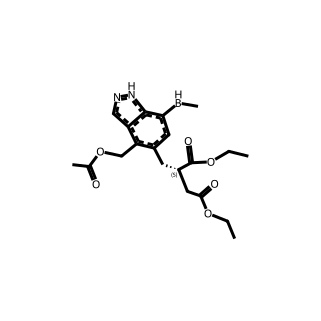 CBc1cc(C[C@@H](CC(=O)OCC)C(=O)OCC)c(COC(C)=O)c2cn[nH]c12